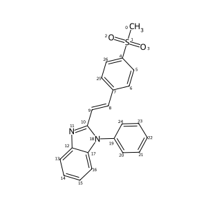 CS(=O)(=O)c1ccc(C=Cc2nc3ccccc3n2-c2ccccc2)cc1